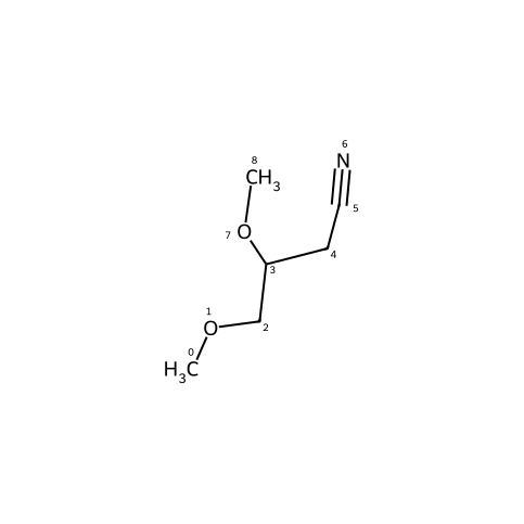 COCC(CC#N)OC